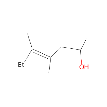 CC/C(C)=C(\C)CC(C)O